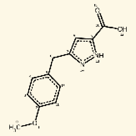 COc1ccc(Cc2cc(C(=O)O)[nH]n2)cc1